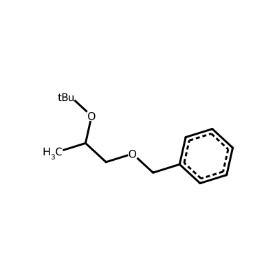 CC(COCc1ccccc1)OC(C)(C)C